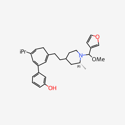 COC(c1ccoc1)N1CCC(CCC2=CC(c3cccc(O)c3)=CC(C(C)C)=CC2)C[C@H]1C